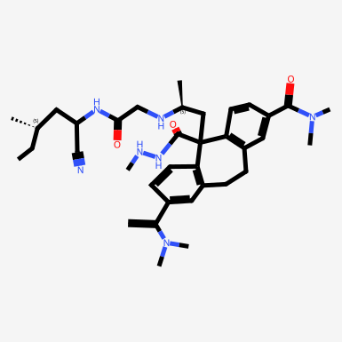 C=C(c1ccc2c(c1)CCc1cc(C(=O)N(C)C)ccc1C2(C[C@H](C)NCC(=O)NC(C#N)C[C@@H](C)CC)C(=O)NNC)N(C)C